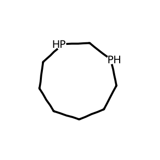 C1CCCPCPCC1